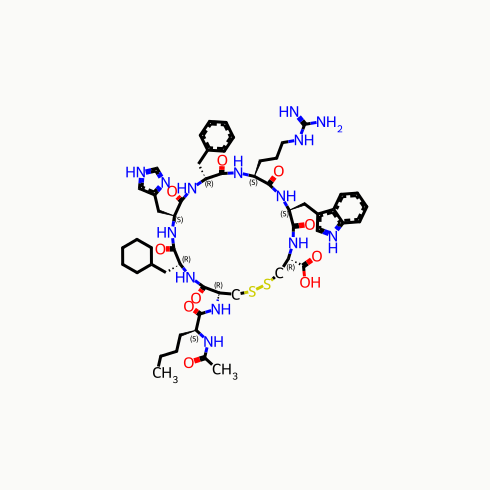 CCCC[C@H](NC(C)=O)C(=O)N[C@H]1CSSC[C@@H](C(=O)O)NC(=O)[C@H](Cc2c[nH]c3ccccc23)NC(=O)[C@H](CCCNC(=N)N)NC(=O)[C@@H](Cc2ccccc2)NC(=O)[C@H](Cc2c[nH]cn2)NC(=O)[C@@H](CC2CCCCC2)NC1=O